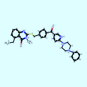 CCc1cccc2nc(SCc3ccc(C(=O)c4ccc(N5CCN(c6ccccc6)CC5)nc4)cc3)n(C)c(=O)c12